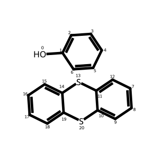 Oc1ccccc1.c1ccc2c(c1)Sc1ccccc1S2